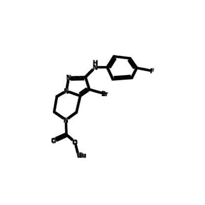 CC(C)(C)OC(=O)N1CCn2nc(Nc3ccc(F)cc3)c(Br)c2C1